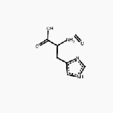 C=O.NC(Cc1c[nH]cn1)C(=O)O